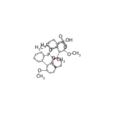 COc1cccc(OC)c1-c1ccccc1P(c1cc(S(=O)(=O)O)ccc1C)c1ccccc1-c1c(OC)cccc1OC